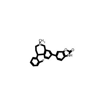 CN1CCC(c2ccccc2F)c2ccc(-c3ccc4[nH]c(=O)oc4c3)cc2C1